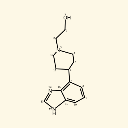 OCCN1CCC(c2cccc3[nH]cnc23)CC1